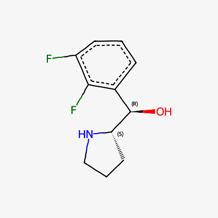 O[C@H](c1cccc(F)c1F)[C@@H]1CCCN1